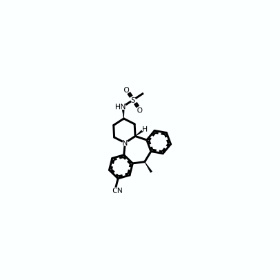 C[C@@H]1c2ccccc2[C@H]2C[C@H](NS(C)(=O)=O)CCN2c2ccc(C#N)cc21